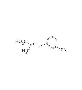 CC(=CCc1cccc(C#N)c1)C(=O)O